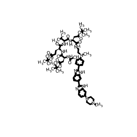 CC(=O)N[C@@H](CC(=O)OC(C)(C)C)C(=O)N[C@@H](CCC(=O)OC(C)(C)C)C(=O)N[C@H](C(=O)N[C@@H](CC(=O)OC(C)(C)C)C(=O)NCCN(C)c1ccc(-c2nc3ccc(-c4nc5ccc(N6CCN(C)CC6)cc5[nH]4)cc3[nH]2)cc1)C(C)C